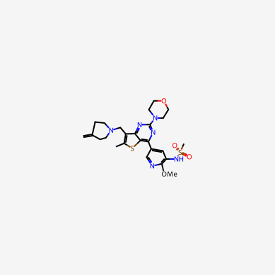 C=C1CCN(Cc2c(C)sc3c(-c4cnc(OC)c(NS(C)(=O)=O)c4)nc(N4CCOCC4)nc23)CC1